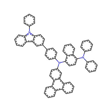 c1ccc(N(c2ccccc2)c2ccc(N(c3ccc(-c4ccc5c(c4)c4ccccc4n5-c4ccccc4)cc3)c3ccc4c5ccccc5c5ccccc5c4c3)c3ccccc23)cc1